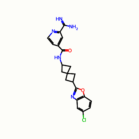 N=C(N)c1cc(C(=O)NC2CC3(C2)CC(c2nc4cc(Cl)ccc4o2)C3)ccn1